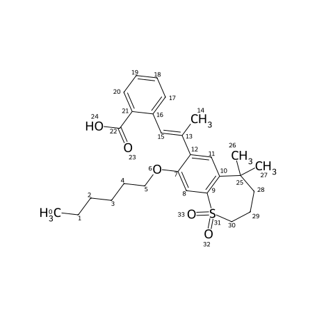 CCCCCCOc1cc2c(cc1C(C)=Cc1ccccc1C(=O)O)C(C)(C)CCCS2(=O)=O